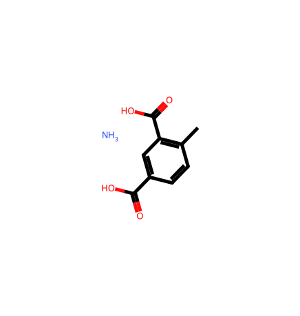 Cc1ccc(C(=O)O)cc1C(=O)O.N